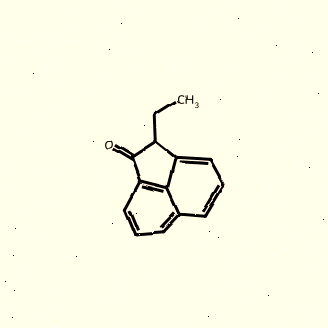 CCC1C(=O)c2cccc3cccc1c23